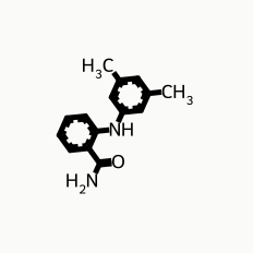 Cc1cc(C)cc(Nc2ccccc2C(N)=O)c1